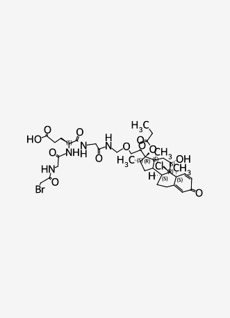 CCC(=O)O[C@]1(C(=O)COCNC(=O)CNC(=O)[C@H](CCC(=O)O)NC(=O)CNC(=O)CBr)[C@@H](C)CC2[C@@H]3CCC4=CC(=O)C=C[C@]4(C)[C@@]3(Cl)[C@@H](O)C[C@@]21C